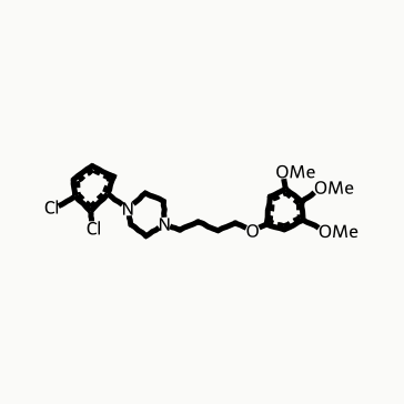 COc1cc(OCCCCN2CCN(c3cccc(Cl)c3Cl)CC2)cc(OC)c1OC